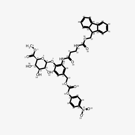 COC(=O)[C@H]1O[C@@H](Oc2ccc(COC(=O)Oc3ccc([N+](=O)[O-])cc3)cc2NC(=O)CCNC(=O)OCC2c3ccccc3-c3ccccc32)[C@H](O)[C@@H](O)[C@@H]1O